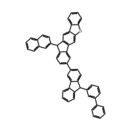 c1ccc(-c2cccc(C3c4ccccc4-c4cc(-c5ccc6c(c5)-c5cc7oc8ccccc8c7cc5C6c5ccc6ccccc6c5)ccc43)c2)cc1